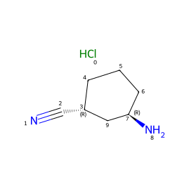 Cl.N#C[C@@H]1CCC[C@@H](N)C1